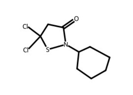 O=C1CC(Cl)(Cl)SN1C1CCCCC1